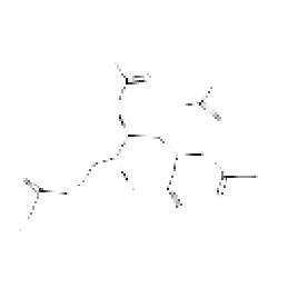 CC(=O)OC[C@H](S)[C@@H](OC(C)=O)[C@H](OC(C)=O)[C@H](C=O)OC(C)=O